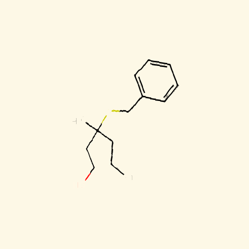 CCCC(C)(CCO)SCc1ccccc1